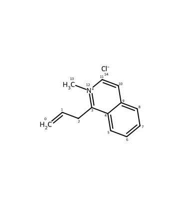 C=CCc1c2ccccc2cc[n+]1C.[Cl-]